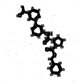 CC(=O)c1cccc(-c2cccc(NC(=O)[C@@H]3CCCN3C(=O)OCc3ccccc3)c2)c1